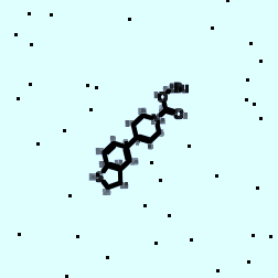 CC(C)(C)OC(=O)N1CC=C(c2ccc3c(c2)CCS3)CC1